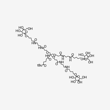 CC(C)(C)C(=O)CCCC(=O)NC(COCCC(=O)NCCCNC(=O)CCCCO[C@@H]1OC(CO)[C@@H](O)C(O)C1O)(COCCC(=O)NCCCNC(=O)CCCCO[C@@H]1OC(CO)[C@@H](O)C(O)C1O)COCCC(=O)NCCCNC(=O)CCCCO[C@@H]1OC(CO)[C@@H](O)C(O)C1O